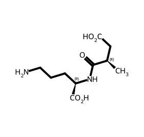 C[C@H](CC(=O)O)C(=O)N[C@H](CCCN)C(=O)O